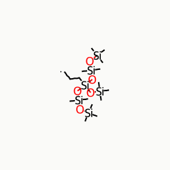 [CH2]CC[Si](O[Si](C)(C)C)(O[Si](C)(C)O[Si](C)(C)C)O[Si](C)(C)O[Si](C)(C)C